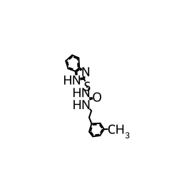 Cc1cccc(CCNC(=O)NSc2nc3ccccc3[nH]2)c1